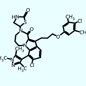 Cc1cc(OCCCc2c3n(c4c(-c5c(C)nn(C)c5C)c(Cl)ccc24)CCCN(C2CNC(=O)S2)C3=O)cc(C)c1Cl